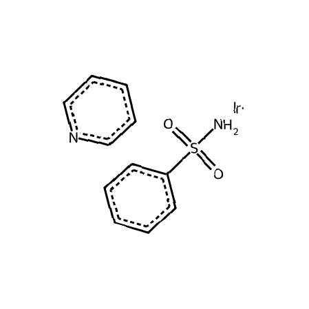 NS(=O)(=O)c1ccccc1.[Ir].c1ccncc1